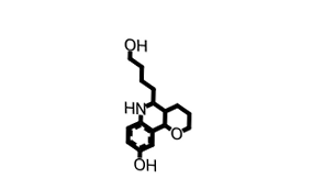 OCCCCC1Nc2ccc(O)cc2C2OCCCC12